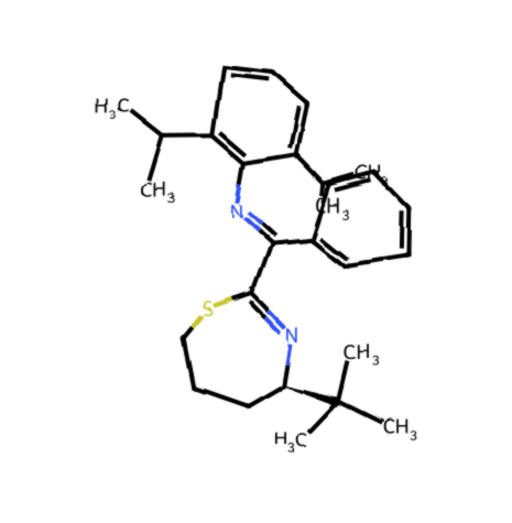 CC(C)c1cccc(C(C)C)c1/N=C(/C1=N[C@@H](C(C)(C)C)CCCS1)c1ccccc1